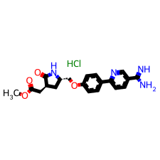 COC(=O)C[C@@H]1C[C@@H](COc2ccc(-c3ccc(C(=N)N)cn3)cc2)NC1=O.Cl